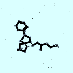 CCOC(=O)CO[C@H]1CN(C2=CC=CCC2)S[C@@]12CCNC2